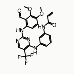 C=CC(=O)Nc1cccc(Nc2nc(Nc3ccc(OC)c(OC)c3C=O)ncc2C(F)(F)F)c1